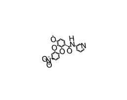 COc1ccc(C(=O)Nc2cccnc2)c2c1Oc1cc([N+](=O)[O-])ccc1O2